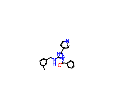 Cc1cccc(CNc2nc(-c3ccncc3)nn2C(=O)c2ccccc2)c1